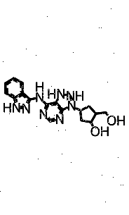 OCC1CC(N2NNc3c(Nc4n[nH]c5ccccc45)ncnc32)CC1O